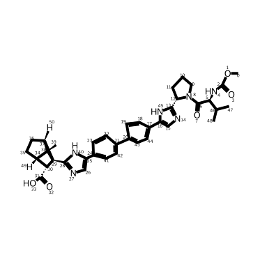 COC(=O)N[C@H](C(=O)N1CCC[C@H]1c1ncc(-c2ccc(-c3ccc(-c4cnc([C@]56[C@H](C(=O)O)[C@@H]7CC[C@H]5[C@@]76C)[nH]4)cc3)cc2)[nH]1)C(C)C